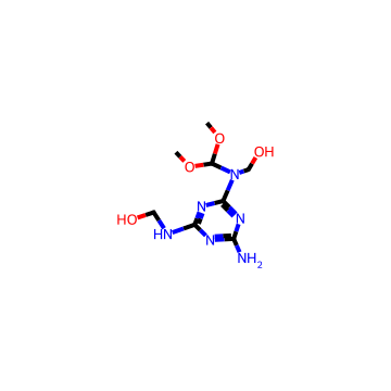 COC(OC)N(CO)c1nc(N)nc(NCO)n1